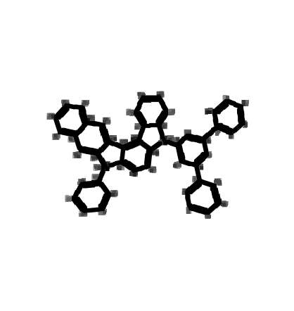 c1ccc(-c2cc(-c3ccccc3)cc(-n3c4ccccc4c4c5c6cc7ccccc7cc6n(-c6ccccc6)c5ccc43)c2)cc1